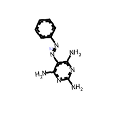 Nc1nc(N)c(/N=N/c2ccccc2)c(N)n1